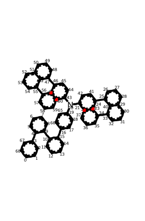 c1ccc(-c2ccccc2-c2ccccc2-c2ccc(N(c3ccc(-c4cccc5cccc(-c6ccccc6)c45)cc3)c3ccc(-c4cccc5cccc(-c6ccccc6)c45)cc3)cc2)cc1